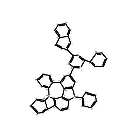 c1ccc(-c2nc(-c3ccc4ccccc4c3)nc(-c3cc4c5ccccc5n5c6ccccc6c6ccc7c(c4c(c3)n7-c3ccccc3)c65)n2)cc1